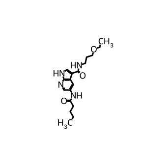 CCCCC(=O)Nc1cnc2[nH]cc(C(=O)NCCCOCC)c2c1